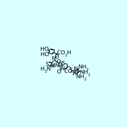 Nc1nc(/C(=N/O[C@@H](C(=O)O)c2ccc(O)c(O)c2)C(=O)NC2C(=O)N3C(C(=O)O)=C(CSc4nc(N)c(N)c(N)n4)CS[C@@H]23)cs1